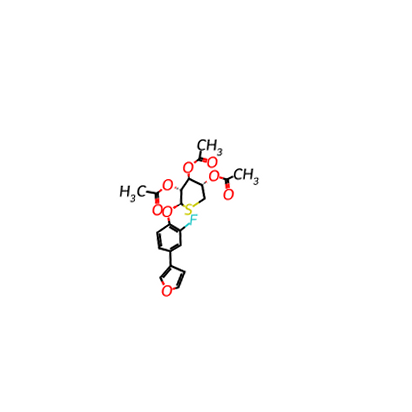 CC(=O)O[C@@H]1[C@@H](OC(C)=O)[C@H](OC(C)=O)CS[C@H]1Oc1ccc(-c2ccoc2)cc1F